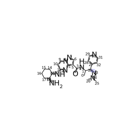 CC(NC(=O)c1cnn2ccc(N[C@@H]3CCCC[C@@H]3N)nc12)/C(=N\N(C)C)c1ccncc1